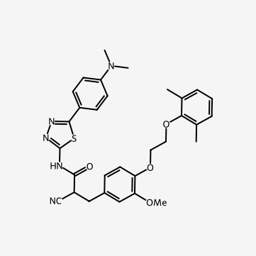 COc1cc(CC(C#N)C(=O)Nc2nnc(-c3ccc(N(C)C)cc3)s2)ccc1OCCOc1c(C)cccc1C